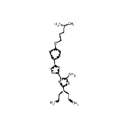 C=CCN(CC=C)c1nc(N)n(-c2nnc(-c3ccc(OCCCN(C)C)cc3)s2)n1